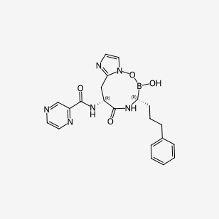 O=C(N[C@@H]1Cc2nccn2OB(O)[C@H](CCCc2ccccc2)NC1=O)c1cnccn1